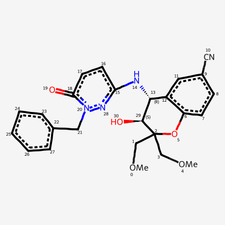 COCC1(COC)Oc2ccc(C#N)cc2[C@@H](Nc2ccc(=O)n(Cc3ccccc3)n2)[C@@H]1O